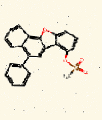 O=S(=O)(Oc1cccc2oc3c4ccccc4c(-c4ccccc4)cc3c12)C(F)(F)F